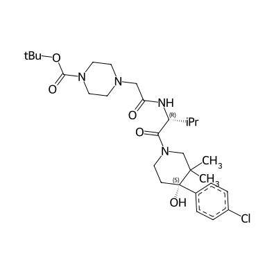 CC(C)[C@@H](NC(=O)CN1CCN(C(=O)OC(C)(C)C)CC1)C(=O)N1CC[C@](O)(c2ccc(Cl)cc2)C(C)(C)C1